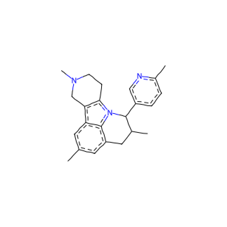 Cc1cc2c3c(c1)c1c(n3C(c3ccc(C)nc3)C(C)C2)CCN(C)C1